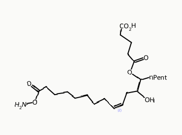 CCCCCC(OC(=O)CCCC(=O)O)C(O)C/C=C\CCCCCCCC(=O)ON